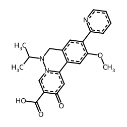 COc1cc2c(cc1-c1ccccn1)CN(C(C)C)n1cc(C(=O)O)c(=O)cc1-2